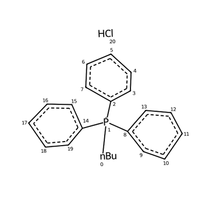 CCCC[P](c1ccccc1)(c1ccccc1)c1ccccc1.Cl